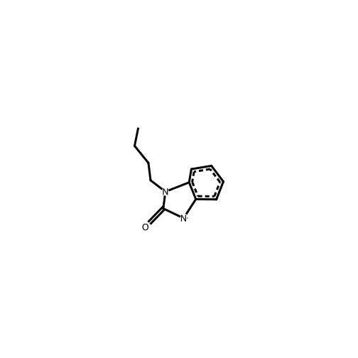 CCCCN1C(=O)[N]c2ccccc21